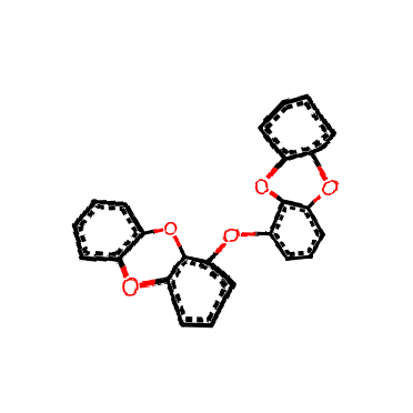 c1ccc2c(c1)Oc1cccc(Oc3cccc4c3Oc3ccccc3O4)c1O2